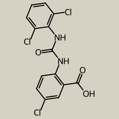 O=C(Nc1ccc(Cl)cc1C(=O)O)Nc1c(Cl)cccc1Cl